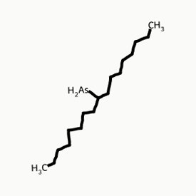 CCCCCCCCC([AsH2])CCCCCCCC